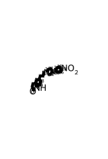 O=C1CCc2cc(CCCN3CCN(c4ccc([N+](=O)[O-])cc4)CC3)ccc2N1